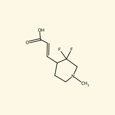 CN1CCC(/C=C/C(=O)O)C(F)(F)C1